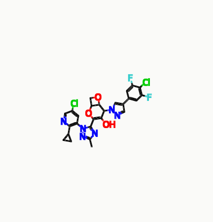 Cc1nc(C2=C(O)C(n3cc(-c4cc(F)c(Cl)c(F)c4)cn3)C3OCC3O2)n(-c2cc(Cl)cnc2C2CC2)n1